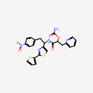 NC(=O)OC(Cc1ccccn1)C(=O)NC(Cc1ccc([N+](=O)[O-])cc1)c1csc(-c2cccs2)n1